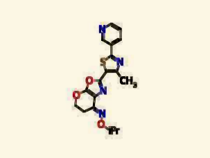 Cc1nc(-c2cccnc2)sc1-c1nc2c(o1)OCC/C2=N\OC(C)C